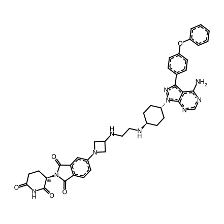 Nc1ncnc2c1c(-c1ccc(Oc3ccccc3)cc1)nn2[C@H]1CC[C@H](NCCNC2CN(c3ccc4c(c3)C(=O)N([C@@H]3CCC(=O)NC3=O)C4=O)C2)CC1